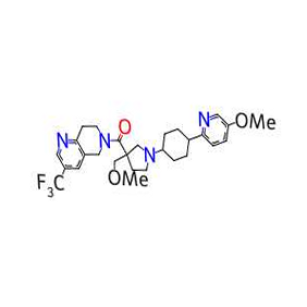 COCC1(C(=O)N2CCc3ncc(C(F)(F)F)cc3C2)CCN(C2CCC(c3ccc(OC)cn3)CC2)C1